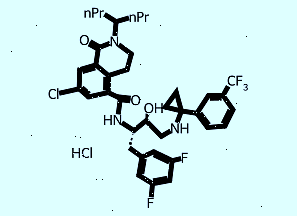 CCCC(CCC)N1CCc2c(C(=O)N[C@@H](Cc3cc(F)cc(F)c3)[C@@H](O)CNC3(c4cccc(C(F)(F)F)c4)CC3)cc(Cl)cc2C1=O.Cl